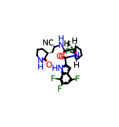 N#C[C@@H](C[C@H]1CCCNC1=O)NC(=O)[C@H]1[C@H]2CC[C@H](CC2(F)F)N1C(=O)c1cc2c(F)cc(F)c(F)c2[nH]1